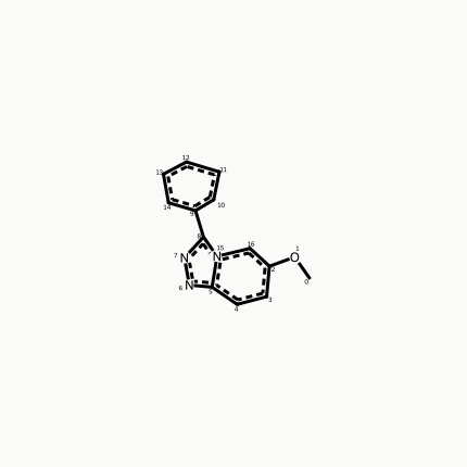 COc1ccc2nnc(-c3ccccc3)n2c1